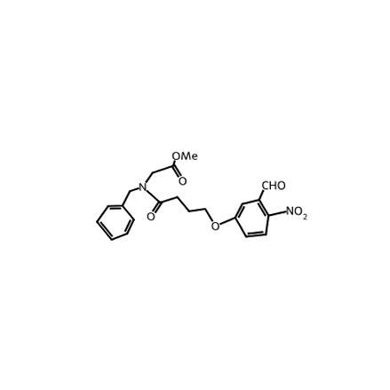 COC(=O)CN(Cc1ccccc1)C(=O)CCCOc1ccc([N+](=O)[O-])c(C=O)c1